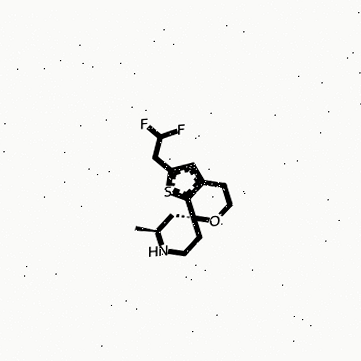 C[C@H]1C[C@@]2(CCN1)OCCc1cc(CC(F)F)sc12